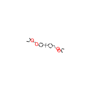 C=CC(=C)OCCOc1ccc(C(C)(C)c2ccc(CCOOC(=C)C=C)cc2)cc1